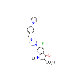 CCn1cc(C(=O)O)c(=O)c2cc(F)c(N3CCN(Cc4ccc(-n5cccc5)cc4)CC3)cc21